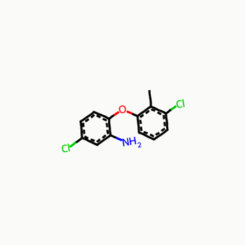 Cc1c(Cl)cccc1Oc1ccc(Cl)cc1N